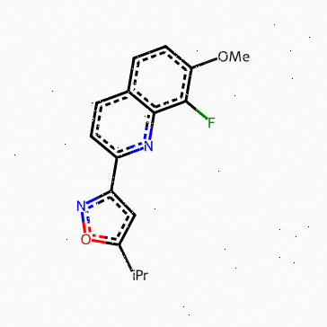 COc1ccc2[c]cc(-c3cc(C(C)C)on3)nc2c1F